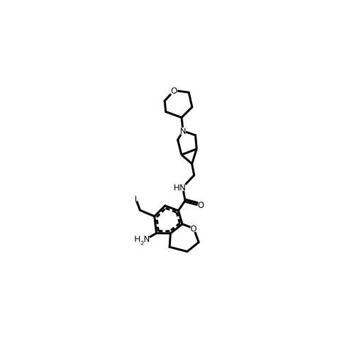 Nc1c(CI)cc(C(=O)NCC2C3CN(C4CCOCC4)CC23)c2c1CCCO2